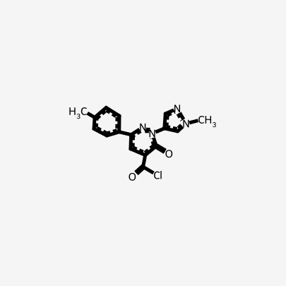 Cc1ccc(-c2cc(C(=O)Cl)c(=O)n(-c3cnn(C)c3)n2)cc1